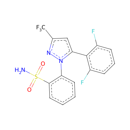 NS(=O)(=O)c1ccccc1-n1nc(C(F)(F)F)cc1-c1c(F)cccc1F